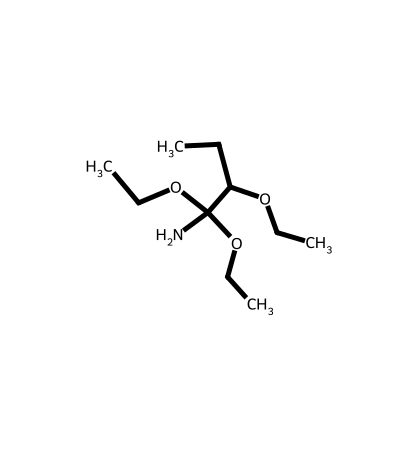 CCOC(CC)C(N)(OCC)OCC